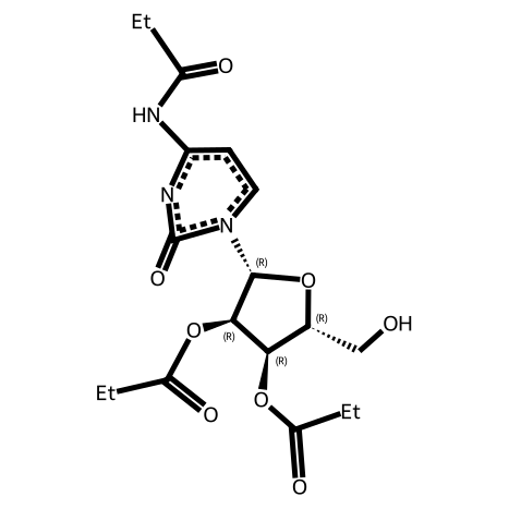 CCC(=O)Nc1ccn([C@@H]2O[C@H](CO)[C@@H](OC(=O)CC)[C@H]2OC(=O)CC)c(=O)n1